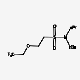 CCCCN(CCC)S(=O)(=O)CCOCC(F)(F)F